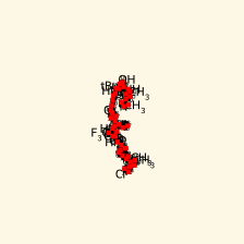 Cc1ncsc1-c1ccc(C(C)NC(=O)[C@@H]2C[C@@H](O)CN2C(=O)[C@@H](NC(=O)CCCCCCC(=O)N2CCN(CC[C@H](CSc3ccccc3)Nc3ccc(S(=O)(=O)NC(=O)c4ccc5c(c4)CCC4CN(CC6=C(c7ccc(Cl)cc7)CCC(C)(C)C6)CCN54)cc3S(=O)(=O)C(F)(F)F)CC2)C(C)(C)C)cc1